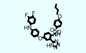 CCCCOc1ccc(S(=O)(=O)Nc2ccc(Oc3ccc(Nc4ccc(F)c(F)c4)cc3)cc2-c2nnn[nH]2)cc1